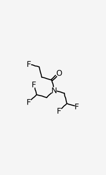 O=C(CCF)N(CC(F)F)CC(F)F